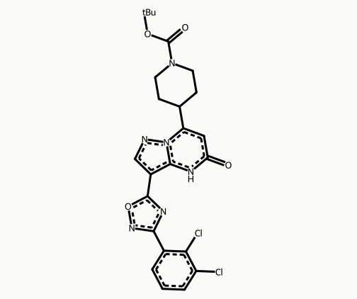 CC(C)(C)OC(=O)N1CCC(c2cc(=O)[nH]c3c(-c4nc(-c5cccc(Cl)c5Cl)no4)cnn23)CC1